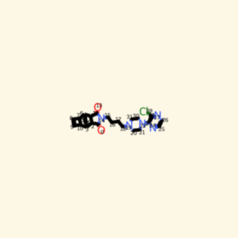 O=C1C2C3C=CC(C4C=CC43)C2C(=O)N1CCCCN1CCN(c2nccnc2Cl)CC1